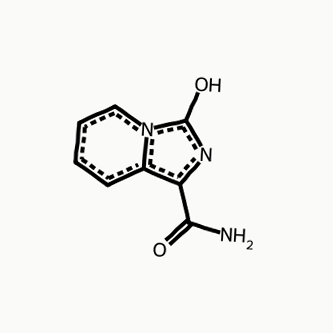 NC(=O)c1nc(O)n2ccccc12